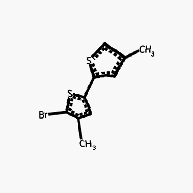 Cc1csc(-c2cc(C)c(Br)s2)c1